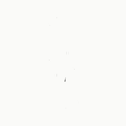 c1cc2c(cc1[C@H]1OC[C@H]3[C@@H]1CO[C@H]3c1ccc3c(c1)OCO3)OCO2